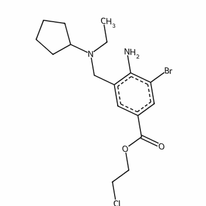 CCN(Cc1cc(C(=O)OCCCl)cc(Br)c1N)C1CCCC1